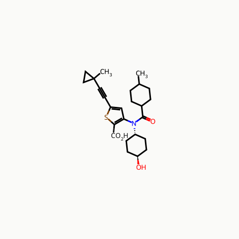 CC1CCC(C(=O)N(c2cc(C#CC3(C)CC3)sc2C(=O)O)[C@H]2CC[C@H](O)CC2)CC1